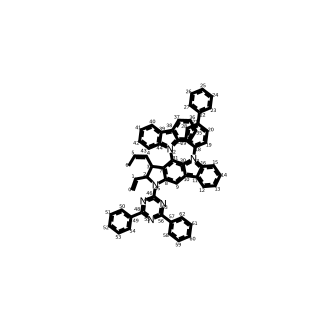 C=CC1C(/C=C\C)c2c(cc3c4ccccc4n(-c4ccc(-c5ccccc5)cc4)c3c2-n2c3ccccc3c3ccccc32)N1c1nc(-c2ccccc2)nc(-c2ccccc2)n1